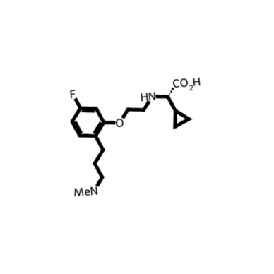 CNCCCc1ccc(F)cc1OCCN[C@H](C(=O)O)C1CC1